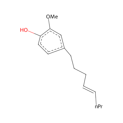 CCCC=CCCCc1ccc(O)c(OC)c1